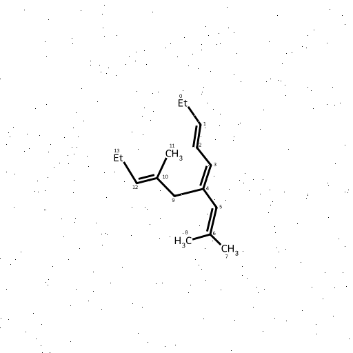 CCC=CC=C(C=C(C)C)CC(C)=CCC